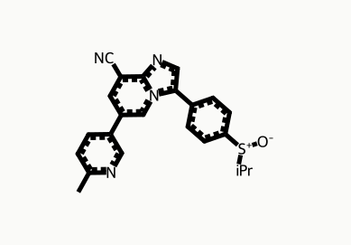 Cc1ccc(-c2cc(C#N)c3ncc(-c4ccc([S+]([O-])C(C)C)cc4)n3c2)cn1